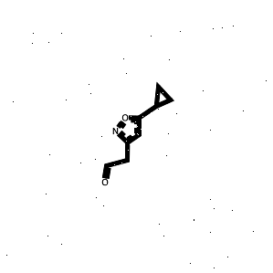 O=CCc1cc(C2CC2)on1